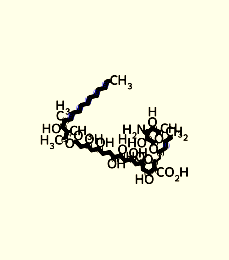 C=C/C=C/[C@@H](C[C@@H]1O[C@](O)(C[C@@H](O)C[C@@H](O)[C@H](O)CC[C@@H](O)C[C@@H](O)CC(=O)O[C@@H](C)[C@H](C)[C@H](O)[C@@H](C)/C=C/C=C/C=C/C=C/C=C/C)C[C@H](O)[C@H]1C(=O)O)O[C@@H]1O[C@H](C)[C@@H](O)[C@H](N)[C@H]1O